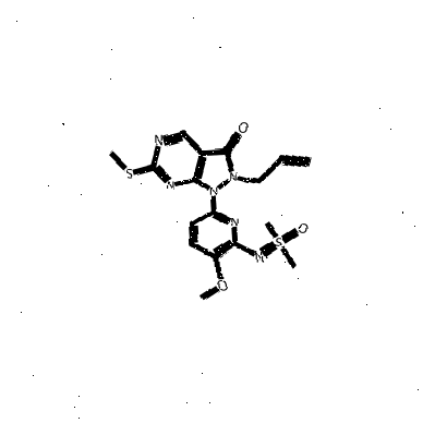 C=CCn1c(=O)c2cnc(SC)nc2n1-c1ccc(OC)c(N=S(C)(C)=O)n1